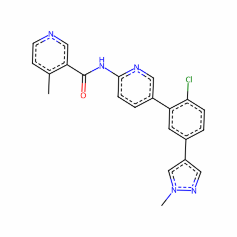 Cc1ccncc1C(=O)Nc1ccc(-c2cc(-c3cnn(C)c3)ccc2Cl)cn1